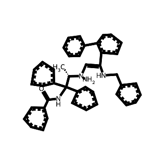 C[C@H](N(N)/C=C(\NCc1ccccc1)c1ccccc1-c1ccccc1)C(NC(=O)c1ccccc1)(c1ccccc1)c1ccccc1